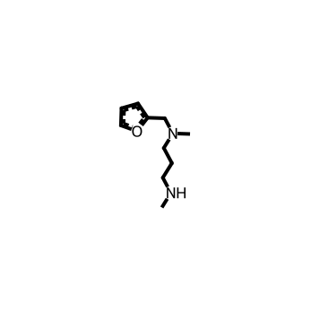 CNCCCN(C)Cc1ccco1